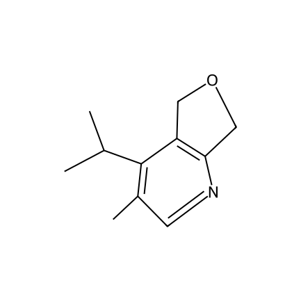 Cc1cnc2c(c1C(C)C)COC2